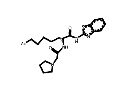 CC(=O)CCCCC[C@H](NC(=O)CN1CCCC1)C(=O)Nc1nc2ccccc2s1